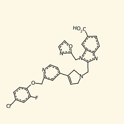 O=C(O)c1ccc2nc(CN3CC=C(c4ccnc(COc5ccc(Cl)cc5F)c4)C3)n(Cc3ncco3)c2c1